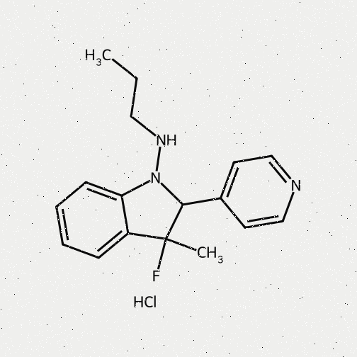 CCCNN1c2ccccc2C(C)(F)C1c1ccncc1.Cl